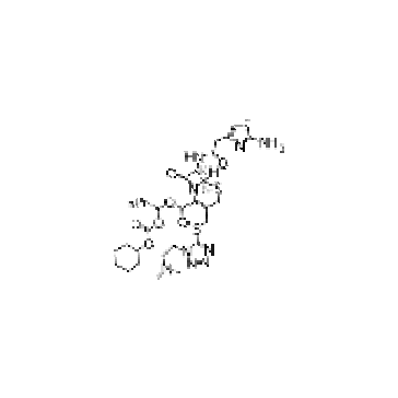 CCCC(OC(=O)OC1CCCCC1)OC(=O)C1=C(CSc2nnnn2CCN(C)C)CS[C@H]2[C@H](NC(=O)Cc3csc(N)n3)C(=O)N12